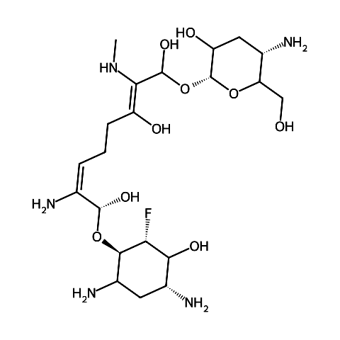 CN/C(=C(/O)CC/C=C(/N)[C@H](O)O[C@@H]1C(N)C[C@@H](N)C(O)[C@H]1F)C(O)O[C@H]1OC(CO)[C@@H](N)CC1O